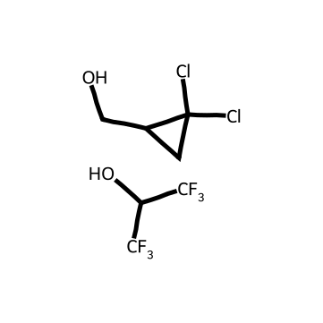 OC(C(F)(F)F)C(F)(F)F.OCC1CC1(Cl)Cl